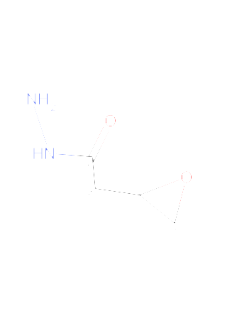 NNC(=O)CC1CO1